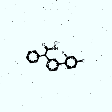 O=C(NO)C(c1ccccc1)c1cccc(-c2ccc(Cl)cc2F)c1